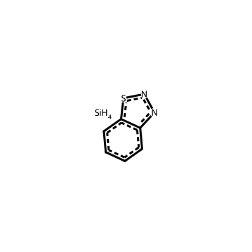 [SiH4].c1ccc2snnc2c1